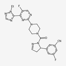 CCn1ncnc1-c1nc(N2CCN(C(=O)N3N=CCC3c3cc(F)cc(C#N)c3)CC2)ncc1F